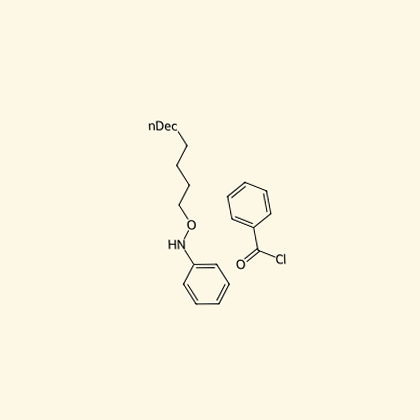 CCCCCCCCCCCCCCONc1ccccc1.O=C(Cl)c1ccccc1